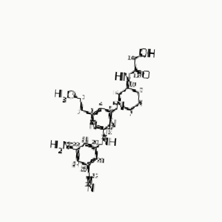 CCCc1cc(N2CCCC(NC(=O)CO)C2)nc(Nc2cc(N)cc(C#N)c2)n1